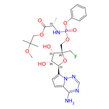 COC(C)(C)COC(=O)[C@H](C)NP(=O)(OC[C@@]1(CF)O[C@@H](c2ccc3c(N)ncnn23)[C@H](O)[C@@H]1O)Oc1ccccc1